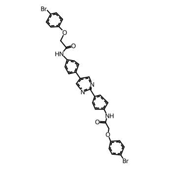 O=C(COc1ccc(Br)cc1)Nc1ccc(-c2cnc(-c3ccc(NC(=O)COc4ccc(Br)cc4)cc3)nc2)cc1